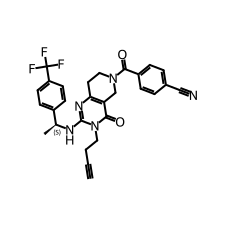 C#CCCn1c(N[C@@H](C)c2ccc(C(F)(F)F)cc2)nc2c(c1=O)CN(C(=O)c1ccc(C#N)cc1)CC2